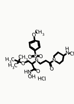 CNC1CCN(C(=O)CCN(C(COC(C)(C)C)C(=O)NO)S(=O)(=O)c2ccc(OC)cc2)CC1.Cl